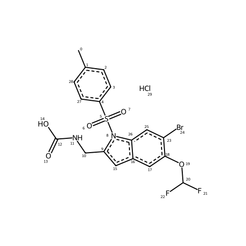 Cc1ccc(S(=O)(=O)n2c(CNC(=O)O)cc3cc(OC(F)F)c(Br)cc32)cc1.Cl